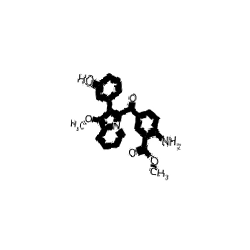 COC(=O)c1cc(C(=O)c2c(-c3cccc(O)c3)c(OC)c3ccccn23)ccc1N